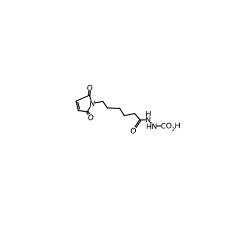 O=C(O)NNC(=O)CCCCCN1C(=O)C=CC1=O